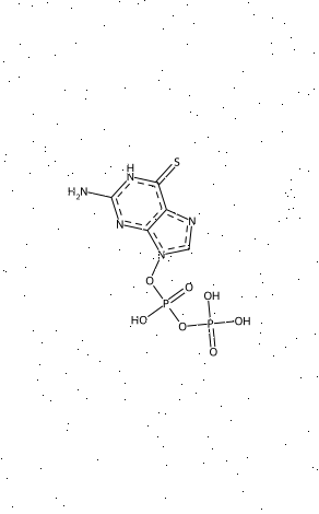 Nc1nc2c(ncn2OP(=O)(O)OP(=O)(O)O)c(=S)[nH]1